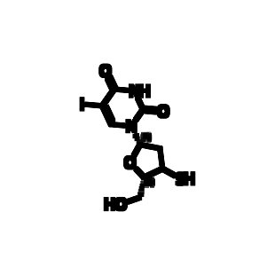 O=c1[nH]c(=O)n([C@@H]2CC(S)[C@H](CO)O2)cc1I